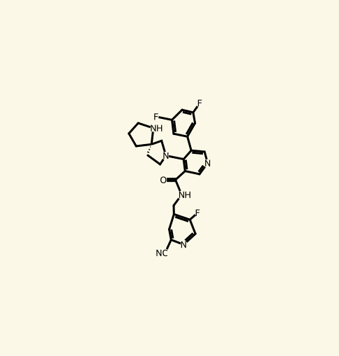 N#Cc1cc(CNC(=O)c2cncc(-c3cc(F)cc(F)c3)c2N2CC[C@@]3(CCCN3)C2)c(F)cn1